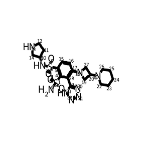 NS(=O)(=O)c1c(S(=O)(=O)N[C@@H]2CCNC2)ccc(N2CC(N3CCCCC3)C2)c1-c1nnn[nH]1